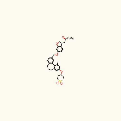 COC(=O)C[C@@H]1COc2cc(OCc3ccc4c(c3)-c3c(C)cc(OC5CCS(=O)(=O)CC5)cc3CCC4)ccc21